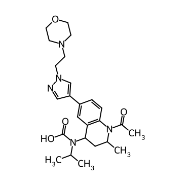 CC(=O)N1c2ccc(-c3cnn(CCN4CCOCC4)c3)cc2C(N(C(=O)O)C(C)C)CC1C